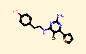 N#Cc1c(NCCc2ccc(O)cc2)nc(N)nc1-c1cccs1